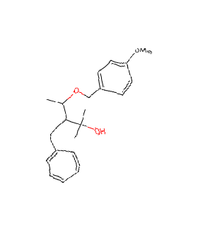 COc1ccc(COC(C)C(Cc2ccccc2)C(C)(C)O)cc1